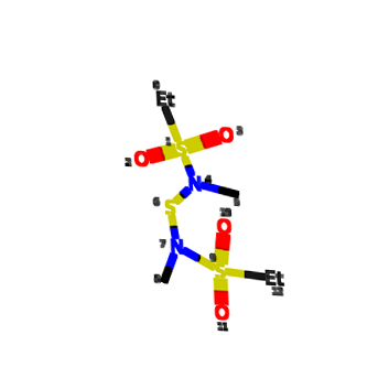 CCS(=O)(=O)N(C)SN(C)S(=O)(=O)CC